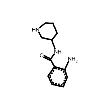 Nc1ccccc1C(=O)NC1CCCNC1